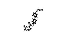 CCCCCc1cnc(-c2ccc(OC(=O)C(C)COC)cc2)nc1